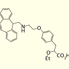 CCOC(Cc1ccc(OCCNCC2c3ccccc3C=Cc3ccccc32)cc1)C(=O)O